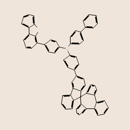 c1ccc(-c2ccc(N(c3ccc(-c4ccc5c(c4)-c4ccccc4C54c5ccccc5-c5ccccc5-c5ccccc54)cc3)c3ccc(-c4cccc5c4oc4ccccc45)cc3)cc2)cc1